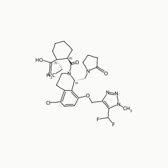 CC[C@]1(C(=O)O)CCCC[C@H]1C(=O)N1CCc2c(Cl)ccc(OCc3nnn(C)c3C(F)F)c2[C@H]1CN1CCCC1=O